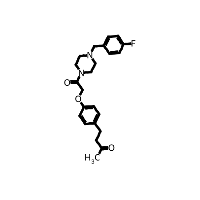 CC(=O)CCc1ccc(OCC(=O)N2CCN(Cc3ccc(F)cc3)CC2)cc1